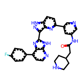 O=C(CC1CCNCC1)Nc1cncc(-c2ccc3[nH]nc(-c4nc5c(-c6ccc(F)cc6)ccnc5[nH]4)c3n2)c1